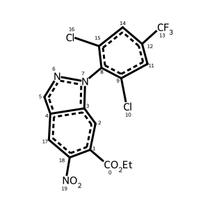 CCOC(=O)c1cc2c(cnn2-c2c(Cl)cc(C(F)(F)F)cc2Cl)cc1[N+](=O)[O-]